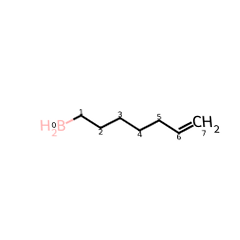 BCCCCCC=C